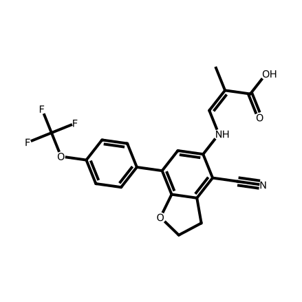 CC(=CNc1cc(-c2ccc(OC(F)(F)F)cc2)c2c(c1C#N)CCO2)C(=O)O